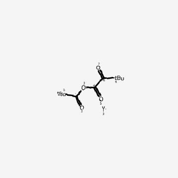 CC(C)(C)C(=O)OC(=O)C(=O)C(C)(C)C.[Y]